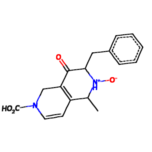 CC1C2=C(CN(C(=O)O)C=C2)C(=O)C(Cc2ccccc2)[NH+]1[O-]